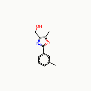 Cc1cccc(-c2nc(CO)c(C)o2)c1